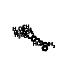 CC(C)C(C)(C)[Si](C)(C)OCCc1ccc(CCCC(CN)(CO)c2ccccc2)cc1